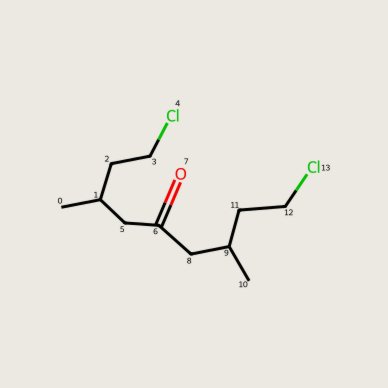 CC(CCCl)CC(=O)CC(C)CCCl